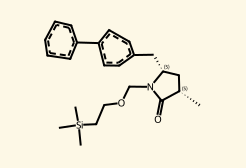 C[C@H]1C[C@@H](Cc2ccc(-c3ccccc3)cc2)N(COCC[Si](C)(C)C)C1=O